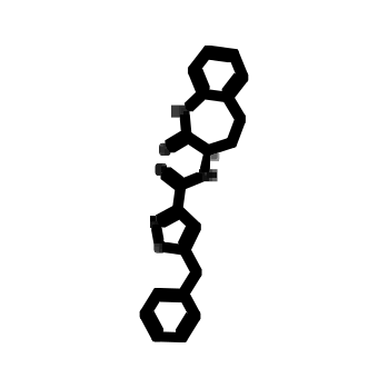 O=C(N[C@@H]1CCc2ccccc2NC1=O)c1cc(Cc2ccccc2)on1